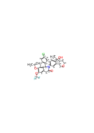 CC(C)Oc1cc2c(cc1OC(F)F)CC(=O)N(c1ccc(C(C)(O)C3CCOCC3)cc1)C2c1ccc(Cl)cc1